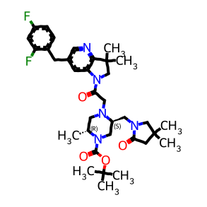 C[C@@H]1CN(CC(=O)N2CC(C)(C)c3ncc(Cc4ccc(F)cc4F)cc32)[C@@H](CN2CC(C)(C)CC2=O)CN1C(=O)OC(C)(C)C